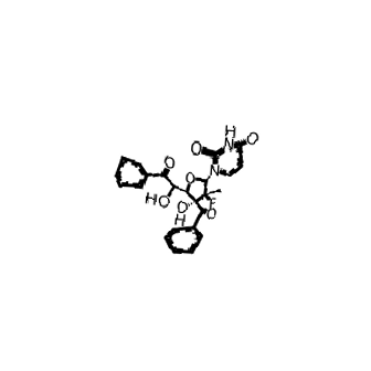 C[C@]1(F)[C@H](n2ccc(=O)[nH]c2=O)O[C@H](C(O)C(=O)c2ccccc2)[C@]1(O)C(=O)c1ccccc1